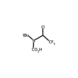 CC(C)(C)N(C(=O)O)C(Cl)C(F)(F)F